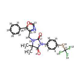 CC1(C)C(=O)N(c2ccc(SC(F)(F)F)cc2)C(=O)N1Cc1ncoc1-c1ccccc1